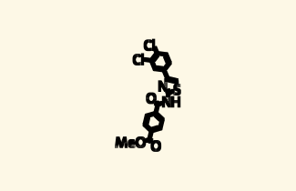 COC(=O)c1ccc(C(=O)Nc2nc(-c3ccc(Cl)c(Cl)c3)cs2)cc1